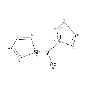 CC(=O)C([SH]1C=CC=C1)[SH]1C=CC=C1